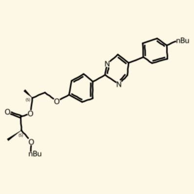 CCCCO[C@@H](C)C(=O)O[C@@H](C)COc1ccc(-c2ncc(-c3ccc(CCCC)cc3)cn2)cc1